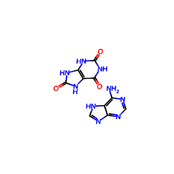 Nc1ncnc2nc[nH]c12.O=c1[nH]c(=O)c2[nH]c(=O)[nH]c2[nH]1